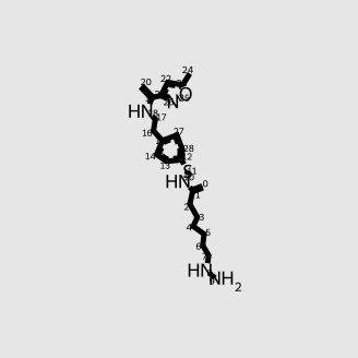 C=C(CCCCCCNN)NSc1ccc(CCNC(=C)c2cc(C)on2)cc1